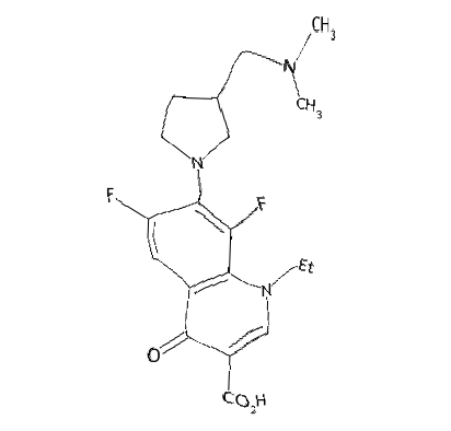 CCn1cc(C(=O)O)c(=O)c2cc(F)c(N3CCC(CN(C)C)C3)c(F)c21